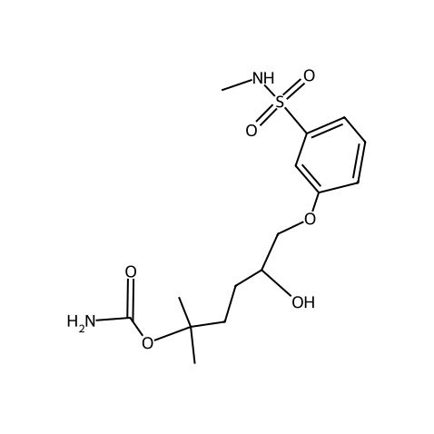 CNS(=O)(=O)c1cccc(OCC(O)CCC(C)(C)OC(N)=O)c1